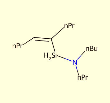 CCCC=C(CCC)[SiH2]N(CCC)CCCC